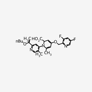 C=C(OCCCC)c1cc(N2C(C)=CC(OCc3ncc(F)cc3F)=CC2C(=O)O)c(C)cn1